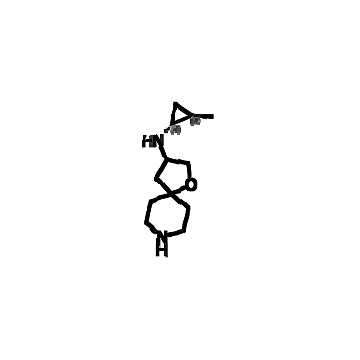 C[C@@H]1C[C@H]1NC1COC2(CCNCC2)C1